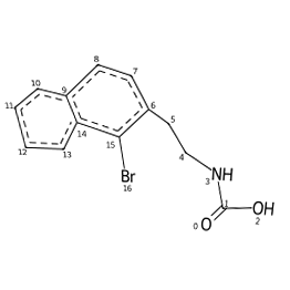 O=C(O)NCCc1ccc2ccccc2c1Br